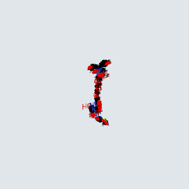 Cc1ncsc1-c1ccc(CNC(=O)[C@@H]2C[C@@H](O)CN2C(=O)[C@@H](NC(=O)CCOCCOCCOCCC(=O)N2CCN(C(c3ccccc3)c3ccccc3)[C@@H](C)C2)C(C)(C)C)cc1